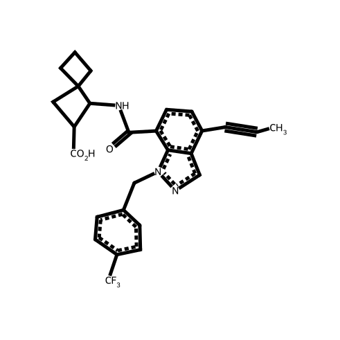 CC#Cc1ccc(C(=O)NC2C(C(=O)O)CC23CCC3)c2c1cnn2Cc1ccc(C(F)(F)F)cc1